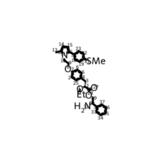 CCO[C@@H](Cc1ccc(OCCn2c(C)ccc2-c2ccc(SC)cc2)cc1)C(=O)OC[C@@H](N)c1ccccc1